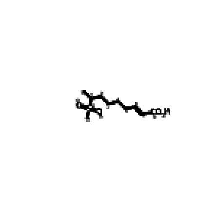 CC(CCCC/C=C/C(=O)O)S(C)(=O)=O